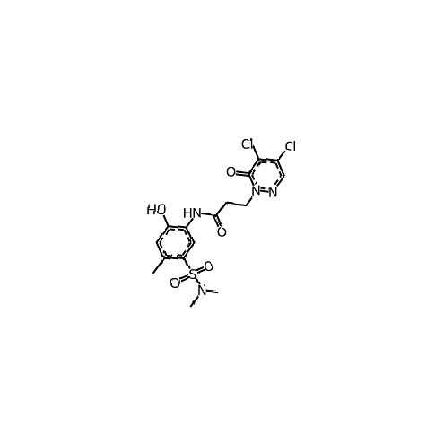 Cc1cc(O)c(NC(=O)CCn2ncc(Cl)c(Cl)c2=O)cc1S(=O)(=O)N(C)C